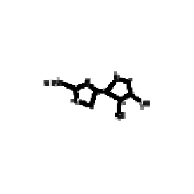 CCCCCCCC1OCC([C@H]2OC[C@@H](O)C2O)O1